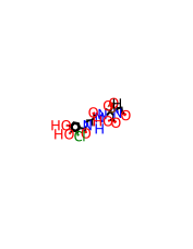 C[C@]1(/C=N/NC(=O)C2CN(C(=O)c3ccc(O)c(O)c3Cl)C2)[C@H](C(=O)O)N2C(=O)C[C@H]2S1(=O)=O